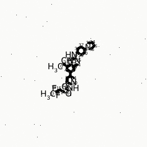 CC(C)c1cc(-c2ccc(NS(=O)(=O)CCC(C)(F)F)nc2)cc2cnc(N[C@H]3CC[C@H](N4CCCC4)CC3)nc12